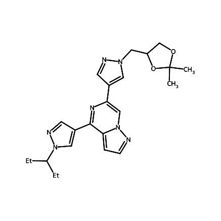 CCC(CC)n1cc(-c2nc(-c3cnn(CC4COC(C)(C)O4)c3)cn3nccc23)cn1